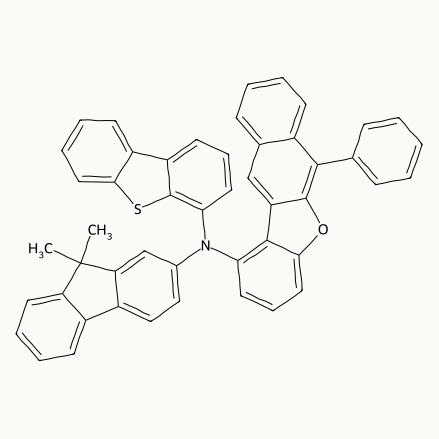 CC1(C)c2ccccc2-c2ccc(N(c3cccc4c3sc3ccccc34)c3cccc4oc5c(-c6ccccc6)c6ccccc6cc5c34)cc21